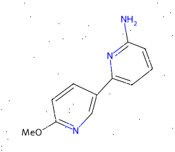 COc1ccc(-c2cccc(N)n2)cn1